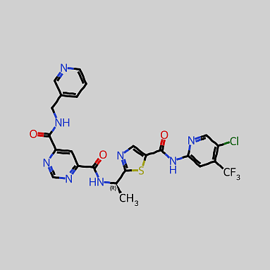 C[C@@H](NC(=O)c1cc(C(=O)NCc2cccnc2)ncn1)c1ncc(C(=O)Nc2cc(C(F)(F)F)c(Cl)cn2)s1